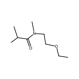 CCOCCN(C)C(=O)C(C)C